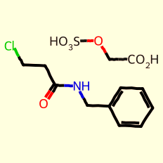 O=C(CCCl)NCc1ccccc1.O=C(O)COS(=O)(=O)O